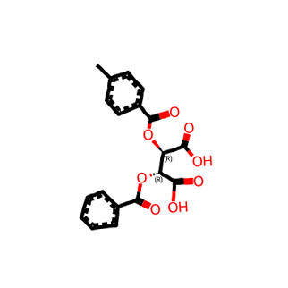 Cc1ccc(C(=O)O[C@@H](C(=O)O)[C@@H](OC(=O)c2ccccc2)C(=O)O)cc1